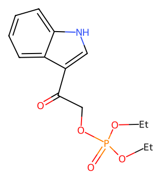 CCOP(=O)(OCC)OCC(=O)c1c[nH]c2ccccc12